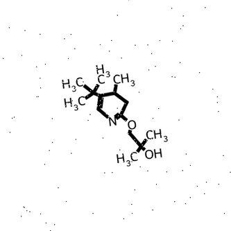 CC1CC(OCC(C)(C)O)=NC=C1C(C)(C)C